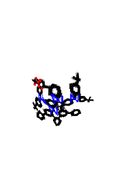 CC(C)(C)c1ccc(-c2cccc(N3c4cc(-n5c6ccc(C(C)(C)C)cc6c6cc(C(C)(C)C)ccc65)ccc4B4c5cc(-c6ccccc6)cc6c5N(c5ccc(-c7ccccc7)cc5-c5ccccc5-6)c5cc(N(c6ccc(C(C)(C)C)cc6)c6ccc(C(C)(C)C)cc6)cc3c54)c2)cc1